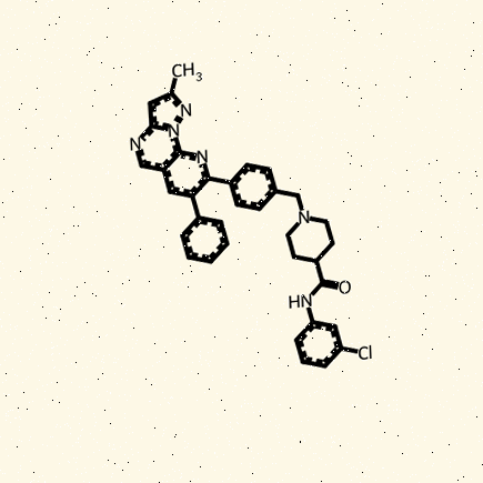 Cc1cc2ncc3cc(-c4ccccc4)c(-c4ccc(CN5CCC(C(=O)Nc6cccc(Cl)c6)CC5)cc4)nc3n2n1